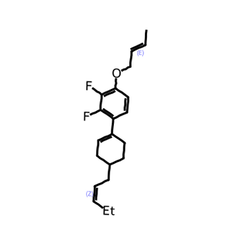 C/C=C/COc1ccc(C2=CCC(C/C=C\CC)CC2)c(F)c1F